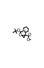 COC(=O)C1(C2CCCCN2C(=O)OC(C)(C)C)CC1